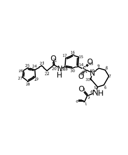 C=CC(=O)NC1CCCCN(S(=O)(=O)c2cccc(NC(=O)CCc3ccccc3)c2)C1